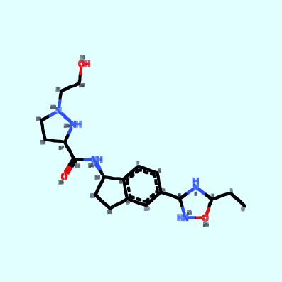 CCC1NC(c2ccc3c(c2)CC[C@H]3NC(=O)C2CCN(CCO)N2)NO1